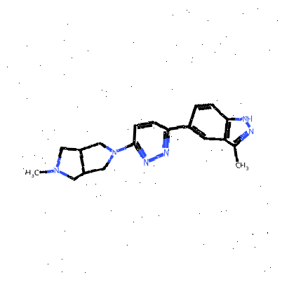 Cc1n[nH]c2ccc(-c3ccc(N4CC5CN(C)CC5C4)nn3)cc12